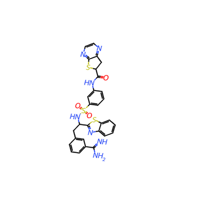 N=C(N)c1cccc(CC(NS(=O)(=O)c2cccc(NC(=O)C3Cc4nccnc4S3)c2)c2nc3ccccc3s2)c1